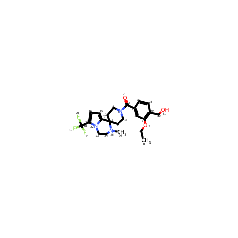 CCOc1cc(C(=O)N2CCC3(CC2)c2ccc(C(F)(F)F)n2CCN3C)ccc1CO